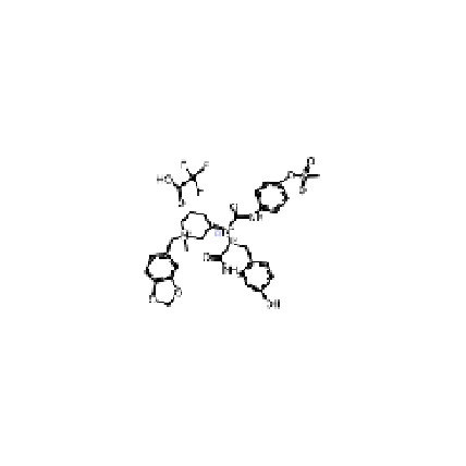 C[N+]1(Cc2ccc3c(c2)OCO3)CCC/C(=[N+](\C(=O)Nc2ccc(OS(C)(=O)=O)cc2)[C@@H](Cc2ccc(O)cc2)C(N)=O)C1.O=C(O)C(F)(F)F